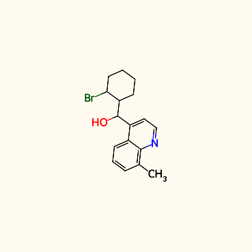 Cc1cccc2c(C(O)C3CCCCC3Br)ccnc12